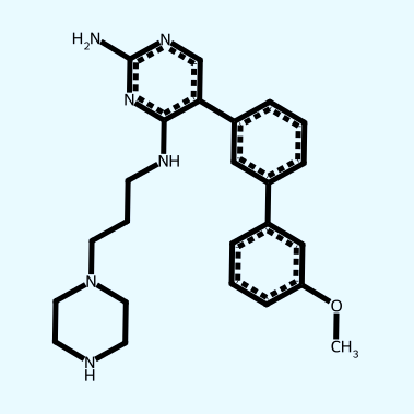 COc1cccc(-c2cccc(-c3cnc(N)nc3NCCCN3CCNCC3)c2)c1